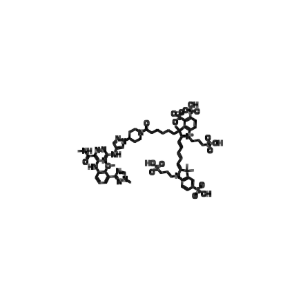 CNC(=O)c1nnc(Nc2cnn(C3CCN(C(=O)CCCCCC4(C)C(/C=C/C=C/C=C5/N(CCCS(=O)(=O)O)c6ccc(S(=O)(=O)O)cc6C5(C)C)=[N+](CCCS(=O)(=O)O)c5ccc(S(=O)(=O)O)c(S(=O)(=O)[O-])c54)CC3)c2)nc1Nc1cccc(-c2ncn(C)n2)c1OC